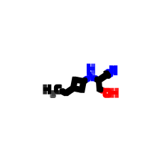 CCC1CC(NC(C#N)CO)C1